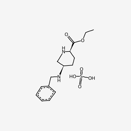 CCOC(=O)[C@H]1CC[C@@H](NCc2ccccc2)CN1.O=S(=O)(O)O